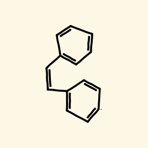 [c]1ccc(/C=C\c2ccccc2)cc1